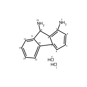 Cl.Cl.Nc1cccc2c1C(N)c1ccccc1-2